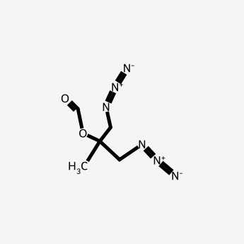 CC(CN=[N+]=[N-])(CN=[N+]=[N-])OC=O